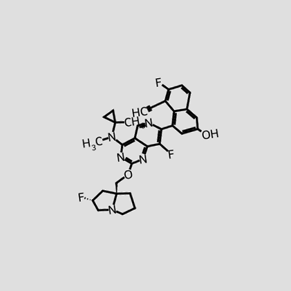 C#Cc1c(F)ccc2cc(O)cc(-c3ncc4c(N(C)C5(C)CC5)nc(OC[C@@]56CCCN5C[C@H](F)C6)nc4c3F)c12